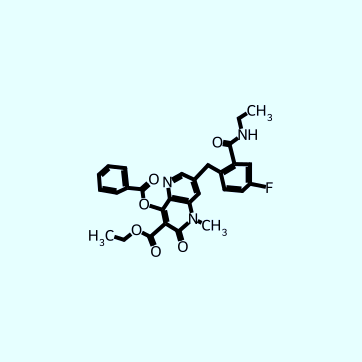 CCNC(=O)c1cc(F)ccc1Cc1cnc2c(OC(=O)c3ccccc3)c(C(=O)OCC)c(=O)n(C)c2c1